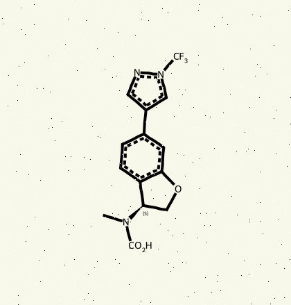 CN(C(=O)O)[C@@H]1COc2cc(-c3cnn(C(F)(F)F)c3)ccc21